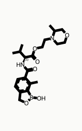 Cc1c(C(=O)N[C@H](C(=O)OCCN2CCOCC2C)C(C)C)ccc2c1B(O)OC2